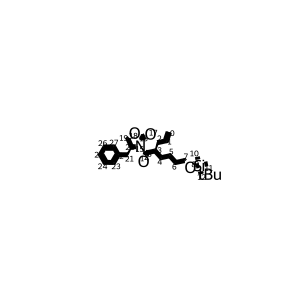 C=CC[C@@H](CCCCO[Si](C)(C)C(C)(C)C)C(=O)N1C(=O)OC[C@@H]1Cc1ccccc1